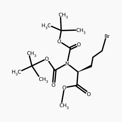 COC(=O)[C@H](CCCBr)N(C(=O)OC(C)(C)C)C(=O)OC(C)(C)C